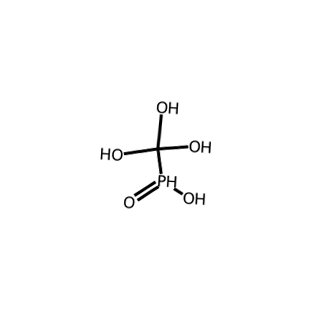 O=[PH](O)C(O)(O)O